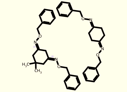 CC1(C)C/C(=N/OCc2ccccc2)C/C(=N/OCc2ccccc2)C1.c1ccc(CON=C2CCC(=NOCc3ccccc3)CC2)cc1